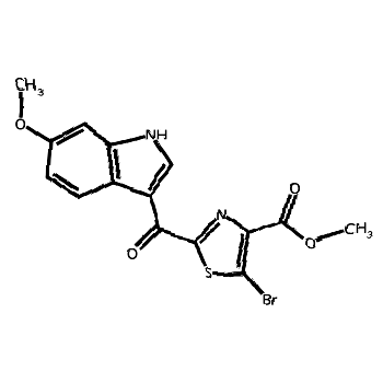 COC(=O)c1nc(C(=O)c2c[nH]c3cc(OC)ccc23)sc1Br